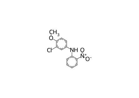 COc1ccc(Nc2ccccc2[N+](=O)[O-])cc1Cl